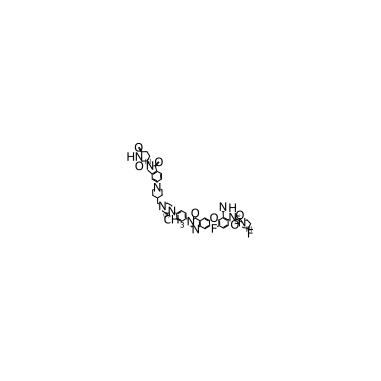 C[C@H]1CN(CC2CCN(c3ccc4c(c3)CN([C@H]3CCC(=O)NC3=O)C4=O)CC2)CCN1c1ccc(-n2cnc3ccc(Oc4c(F)ccc(NS(=O)(=O)N5CC[C@@H](F)C5)c4C#N)cc3c2=O)cc1